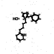 C1=CCC(CCCCn2ccnc2-c2ccccc2)NC1.Cl